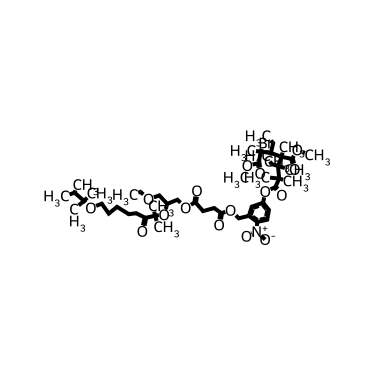 CCOCC(COC(=O)CCC(=O)OCc1cc(OC(=O)C(C)(C)C(C)(CC)C(C)(C(=O)OC)C(C)(CC)C(C)(Br)C(=O)OC)ccc1[N+](=O)[O-])OC(C)(C)C(=O)CCCCCOC(C)(C)C(C)C